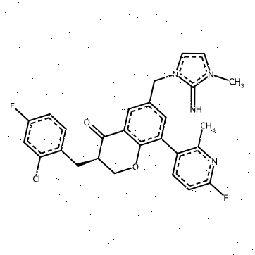 Cc1nc(F)ccc1-c1cc(Cn2ccn(C)c2=N)cc2c1OC[C@@H](Cc1ccc(F)cc1Cl)C2=O